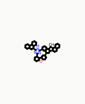 C=C1c2ccc(-c3ccc4oc5cccc(C6=NC(c7cc8ccccc8c8ccccc78)NC(c7ccccc7)=N6)c5c4c3)cc2-c2ccc3ccccc3c21